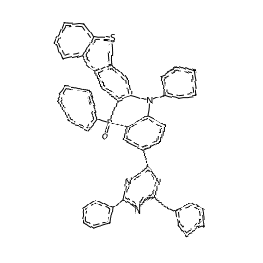 O=P1(c2ccccc2)c2cc(-c3nc(-c4ccccc4)nc(-c4ccccc4)n3)ccc2N(c2ccccc2)c2cc3sc4ccccc4c3cc21